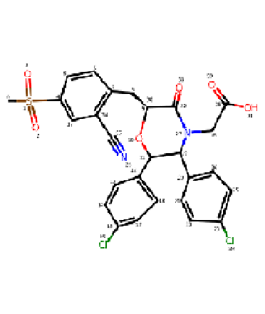 CS(=O)(=O)c1ccc(C[C@@H]2OC(c3ccc(Cl)cc3)C(c3ccc(Cl)cc3)N(CC(=O)O)C2=O)c(C#N)c1